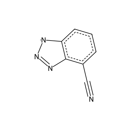 N#Cc1cccc2c1N=N[N]2